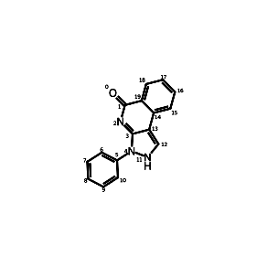 O=c1nc2n(-c3ccccc3)[nH]cc-2c2ccccc12